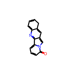 O=c1cccc2c3nc4c(cc3cn12)CC=CC=4